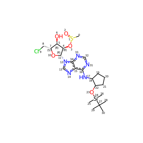 CS(=O)O[C@@H]1[C@H](O)[C@@H](CCl)O[C@H]1n1cnc2c(NC3CCCC3O[Si](C)(C)C(C)(C)C)ncnc21